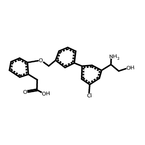 NC(CO)c1cc(Cl)cc(-c2cccc(COc3ccccc3CC(=O)O)c2)c1